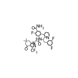 CC1(C)CC(=O)c2c(C(F)(F)F)nn(CC(=O)NC(Cc3cc(F)cc(F)c3)c3ncccc3-c3ccc(F)c(C(N)=O)c3)c2C1